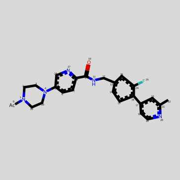 CC(=O)N1CCN(c2ccc(C(=O)NCc3ccc(-c4ccnc(C)c4)c(F)c3)nc2)CC1